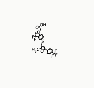 Cc1oc(-c2ccc(C(F)(F)F)cc2)cc1CSc1ccc(OCC(=O)O)c(C(F)(F)F)c1